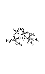 C[Si](C)(C)OP(=O)(F)OP(=O)(F)O[Si](C)(C)C